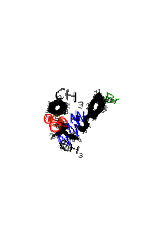 Cc1ccc(S(=O)(=O)OC23CN(c4ccc(-c5ccc(Br)cc5)nn4)CC2N(C)C3)cc1